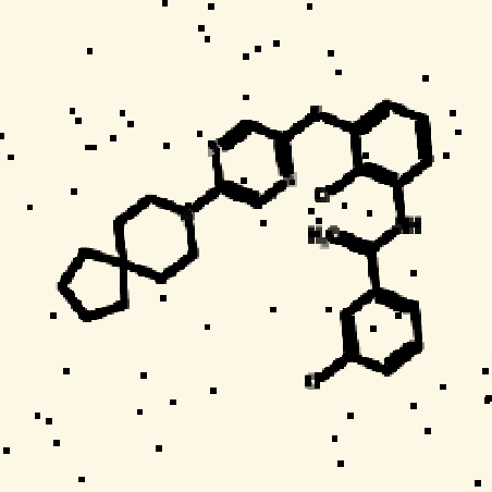 C=C(Nc1cccc(Sc2cnc(N3CCC4(CCCC4)CC3)cn2)c1Cl)c1cccc(Cl)c1